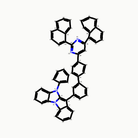 c1ccc(-n2c3ccccc3n3c4ccccc4c(-c4cccc(-c5ccc(-c6cc(-c7cccc8ccccc78)nc(-c7cccc8ccccc78)n6)cc5)c4)c23)cc1